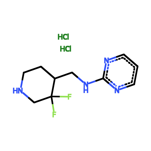 Cl.Cl.FC1(F)CNCCC1CNc1ncccn1